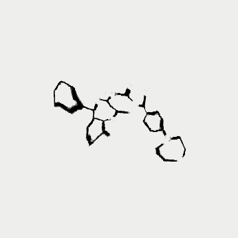 N=C(NC1N=C(c2ccccc2)c2cccc(F)c2NC1=O)OC(=N)c1ccc(N2CCOCC2)cc1